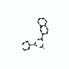 Clc1nc(-c2ccncc2)nc(-c2ccc3ccccc3c2)n1